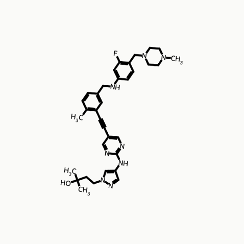 Cc1ccc(CNc2ccc(CN3CCN(C)CC3)c(F)c2)cc1C#Cc1cnc(Nc2cnn(CCC(C)(C)O)c2)nc1